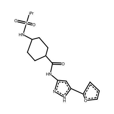 CC(C)S(=O)(=O)NC1CCC(C(=O)Nc2cc(-c3ccco3)[nH]n2)CC1